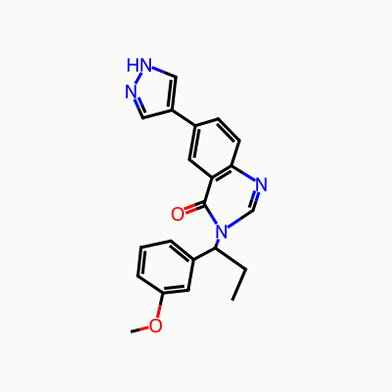 CCC(c1cccc(OC)c1)n1cnc2ccc(-c3cn[nH]c3)cc2c1=O